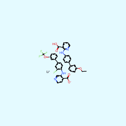 CCOc1cccc(-c2ccc(Nc3ncccc3C(=O)O)cc2)c1.O=C([O-])c1ccncc1Nc1ccc(-c2cccc(OC(F)(F)F)c2)cc1F.[Li+]